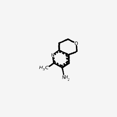 Cc1nc2c(cc1N)COCC2